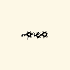 CC(C)c1ccc(OCc2ccc(-c3ccccc3)nc2)cc1F